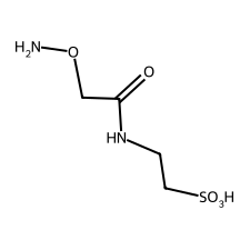 NOCC(=O)NCCS(=O)(=O)O